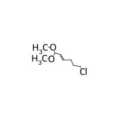 COC(/C=C/CCCCl)OC